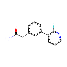 NC(=O)[CH]c1cccc(-c2cccnc2F)c1